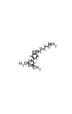 C[C@@H]1CN(c2ccc(NCCCCCN)cc2)C[C@@H](C)O1